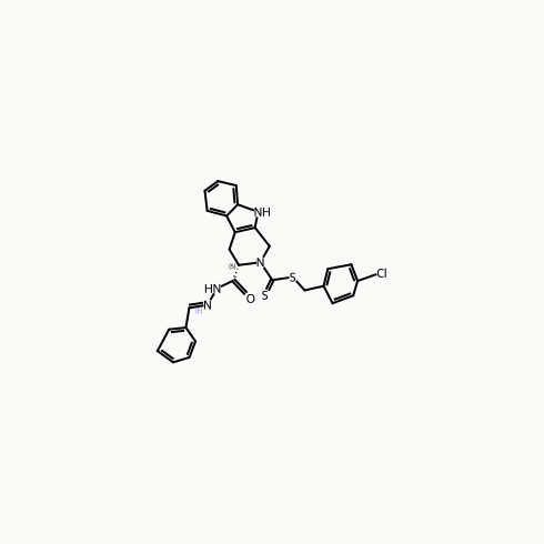 O=C(N/N=C/c1ccccc1)[C@@H]1Cc2c([nH]c3ccccc23)CN1C(=S)SCc1ccc(Cl)cc1